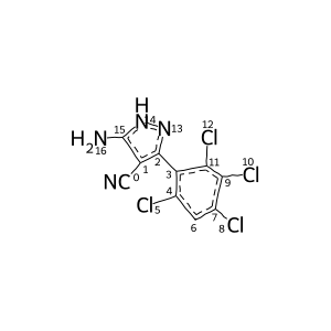 N#Cc1c(-c2c(Cl)cc(Cl)c(Cl)c2Cl)n[nH]c1N